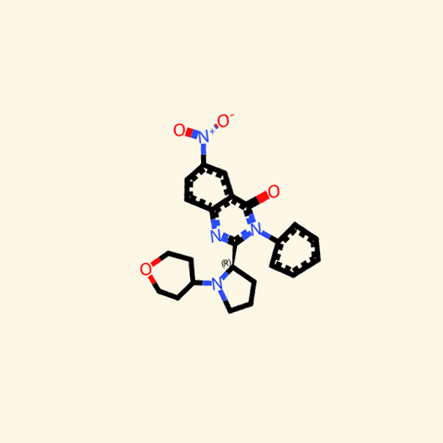 O=c1c2cc([N+](=O)[O-])ccc2nc([C@H]2CCCN2C2CCOCC2)n1-c1ccccc1